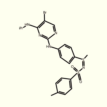 Cc1ccc(S(=O)(=O)N=S(C)c2ccc(Nc3ncc(Br)c(NC(C)C)n3)cc2)cc1